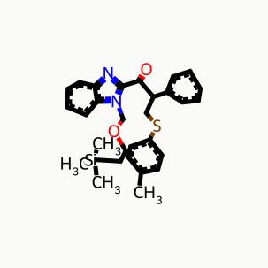 Cc1ccc(SCC(C(=O)c2nc3ccccc3n2COCC[Si](C)(C)C)c2ccccc2)cc1